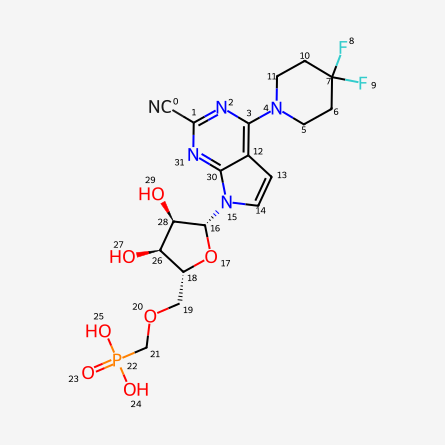 N#Cc1nc(N2CCC(F)(F)CC2)c2ccn([C@@H]3O[C@H](COCP(=O)(O)O)[C@@H](O)[C@H]3O)c2n1